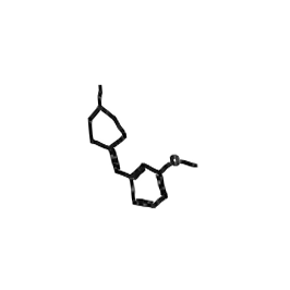 COc1cccc(C=C2CCC(C)CC2)c1